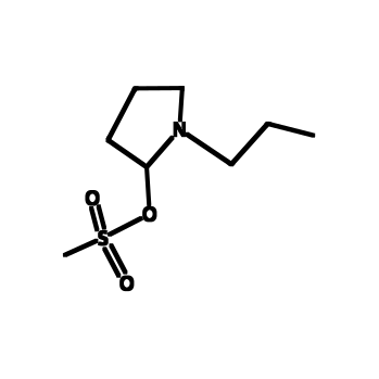 CCCN1CCCC1OS(C)(=O)=O